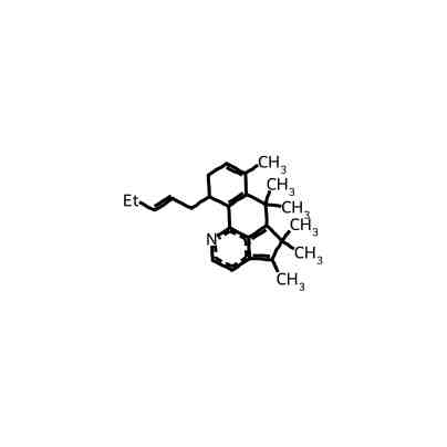 CCC=CCC1CC=C(C)C2=C1c1nccc3c1=C(C2(C)C)C(C)(C)C=3C